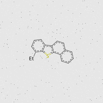 CCc1cccc2c1sc1c3ccccc3ccc21